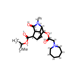 COC(C)OC(=O)C1C2CC3C1C(=O)N(C(C)C)C3C2OC(=O)CN1CCCCCC1